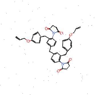 C=CCOc1ccc(Cc2cc(Cc3ccc(N4C(=O)CCC4=O)c(Cc4ccc(OCC=C)cc4)c3)ccc2N2C(=O)CCC2=O)cc1